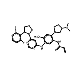 C=CC(=O)Nc1cc(Nc2cc(N3OCCC3c3c(F)cccc3F)ncn2)c(OC)cc1N1CCC(N(C)C)C1